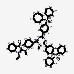 C=C/C=C(\C=C)P(=O)(c1ccccc1)c1ccc(/C(N=C)=N/C(=N\Cc2ccc(P(=O)(c3ccccc3)c3ccccc3)cc2)c2ccc(P(=O)(C3=CC=CCC=C3)c3ccccc3)cc2)cc1